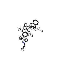 COc1ccccc1CN(C)C(=O)C(C)(C)c1ccc(S(=O)(=O)/C=C/C#N)cc1